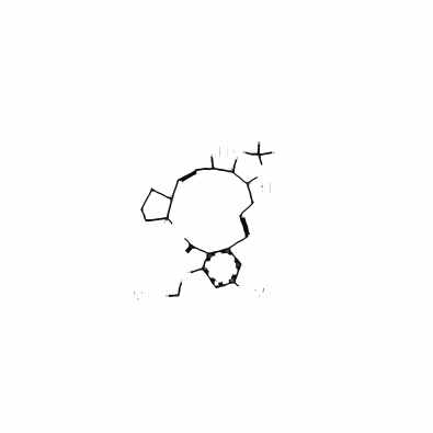 COCOc1cc(OC)cc2c1C(=O)O[C@H]1CCC[C@H]1/C=C\C(O)[C@H]1OC(C)(C)O[C@H]1C/C=C/2